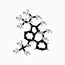 CC1=C([SiH](C)C)c2c(ccc(NC(C)(C)C)c2-c2ccccc2)[CH]1[Mo]([N](C)C)[N](C)C